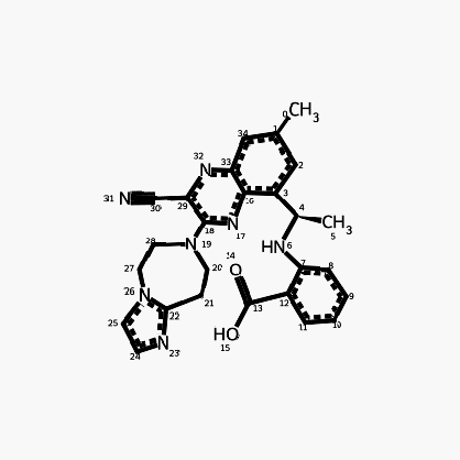 Cc1cc([C@@H](C)Nc2ccccc2C(=O)O)c2nc(N3CCc4nccn4CC3)c(C#N)nc2c1